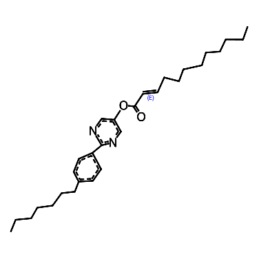 CCCCCCCCC/C=C/C(=O)Oc1cnc(-c2ccc(CCCCCCC)cc2)nc1